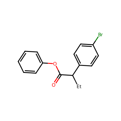 CCC(C(=O)Oc1ccccc1)c1ccc(Br)cc1